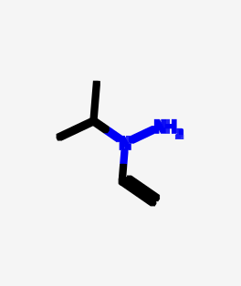 C=CN(N)C(C)C